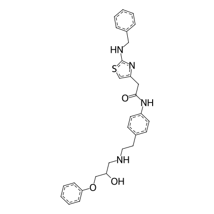 O=C(Cc1csc(NCc2ccccc2)n1)Nc1ccc(CCNCC(O)COc2ccccc2)cc1